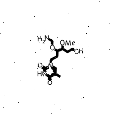 COC(CCO)C(CCn1cc(C)c(=O)[nH]c1=O)OCN